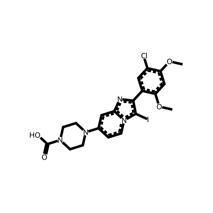 COc1cc(OC)c(-c2nc3cc(N4CCN(C(=O)O)CC4)ccn3c2I)cc1Cl